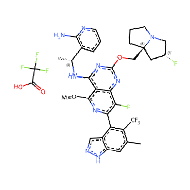 COc1nc(-c2c(C(F)(F)F)c(C)cc3[nH]ncc23)c(F)c2nc(OC[C@@]34CCCN3C[C@H](F)C4)nc(N[C@H](C)c3cccnc3N)c12.O=C(O)C(F)(F)F